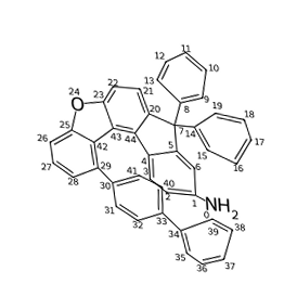 Nc1ccc2c(c1)C(c1ccccc1)(c1ccccc1)c1ccc3oc4cccc(-c5ccc(-c6ccccc6)cc5)c4c3c1-2